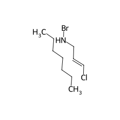 CCCCCCC.ClC=CCNBr